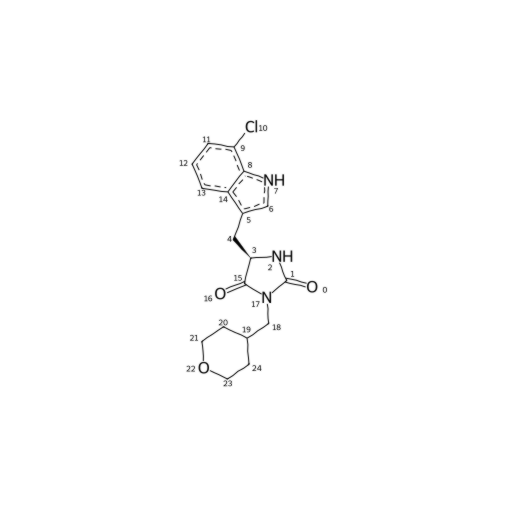 O=C1N[C@H](Cc2c[nH]c3c(Cl)cccc23)C(=O)N1CC1CCOCC1